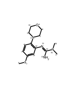 CSc1ccc(N2CCOCC2)c(/N=C(\N)N(C)C)c1